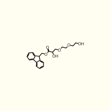 O=C(OCC1c2ccccc2-c2ccccc21)C(O)COCCOCCO